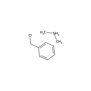 C[SiH2]C.ClCc1ccccc1